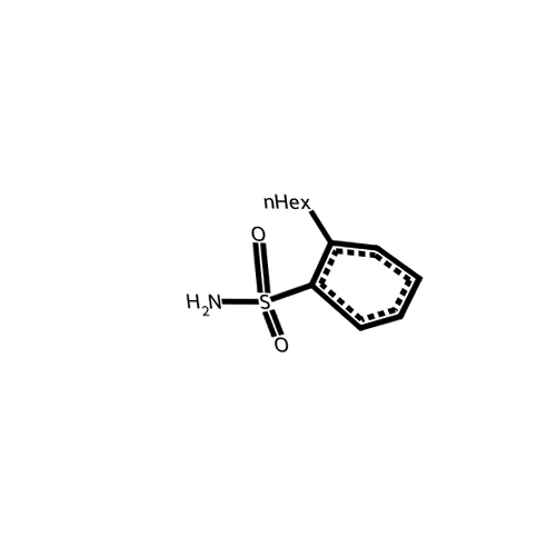 CCCCCCc1ccccc1S(N)(=O)=O